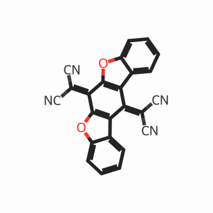 N#CC(C#N)=c1c2oc3ccccc3c2c(=C(C#N)C#N)c2c1oc1ccccc12